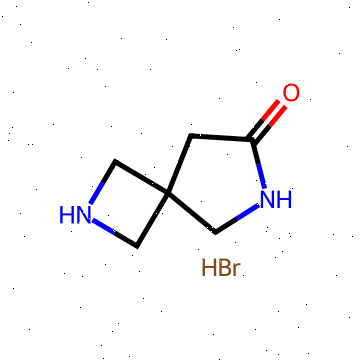 Br.O=C1CC2(CNC2)CN1